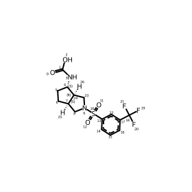 O=C(O)N[C@H]1CC[C@@H]2CN(S(=O)(=O)c3cccc(C(F)(F)F)c3)C[C@@H]21